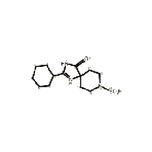 O=C1NC(C2CCCCC2)=NC12CCN(S(=O)(=O)O)CC2